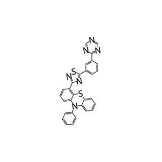 c1ccc(N2c3ccccc3Sc3c(-c4nsc(-c5cccc(-c6ncncn6)c5)n4)cccc32)cc1